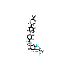 C=CC1CCC(c2ccc(-c3ccc(C(F)(F)Oc4cc(F)c(OC(F)=C(F)F)c(F)c4)cc3)cc2)CC1